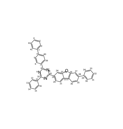 c1ccc(-c2ccc(-c3nc(-c4ccccc4)nc(-c4ccc5c(c4)oc4cc(-c6ccccc6)ccc45)n3)cc2)cc1